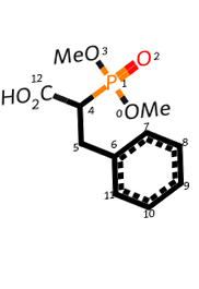 COP(=O)(OC)C(Cc1ccccc1)C(=O)O